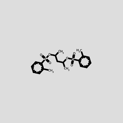 Cc1ccccc1S(=O)(=O)OC(C)CC(C)OS(=O)(=O)c1ccccc1C